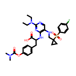 CCN(CC)c1ncc(NCC2(S(=O)(=O)c3ccc(F)cc3)CC2)c(NC(Cc2ccc(OC(=O)N(C)C)cc2)C(=O)O)n1